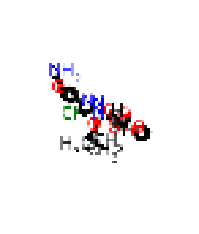 C[Si](C)(C)CCOCn1c(O[C@@H]2CO[C@H]3[C@@H]2OC[C@H]3OC2CCCCO2)nc2nc(-c3ccc(OCCN)cc3)c(Cl)cc21